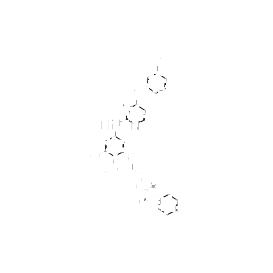 COc1cc(Nc2nccc(Sc3cccc(Br)c3)n2)cc(OCCOS(=O)(=O)c2ccc(C)cc2)c1OC